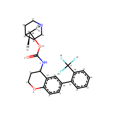 O=C(NC1CCOc2ccc(-c3ccccc3C(F)(F)F)cc21)O[C@H]1CN2CCC1CC2